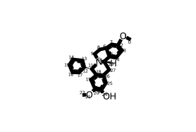 COc1ccc2c(c1)CCN1[C@@H](c3ccccc3)c3cc(OC)c(O)cc3C[C@@H]21